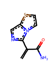 C=C(C(N)=O)c1ncc2sccn12